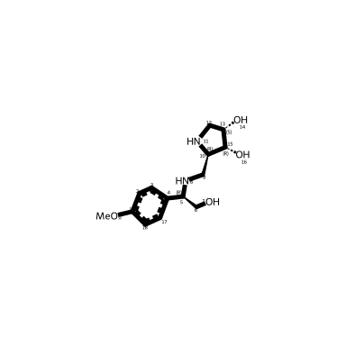 COc1ccc([C@H](CO)NC[C@H]2NC[C@H](O)[C@@H]2O)cc1